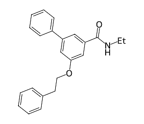 CCNC(=O)c1cc(OCCc2ccccc2)cc(-c2ccccc2)c1